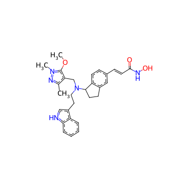 COc1c(CN(CCc2c[nH]c3ccccc23)C2CCc3cc(C=CC(=O)NO)ccc32)c(C)nn1C